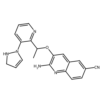 CC(Oc1cc2cc(C#N)ccc2nc1N)c1ncccc1N1C=CCN1